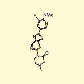 CNc1ncc(-c2nc3cnc(N4CCN(C)CC4=O)cc3s2)cc1F